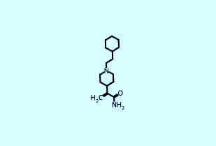 C=C(C(N)=O)C1CCN(CCC2CCCCC2)CC1